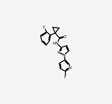 O=C(Nc1ccn(-c2ccc(F)nc2)n1)C1(c2ccccc2F)CC1